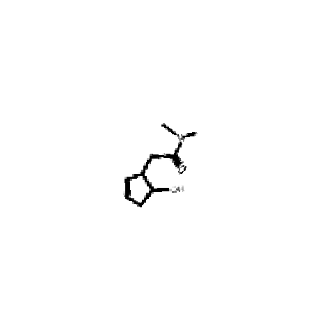 CN(C)C(=O)CC1C=CCC1O